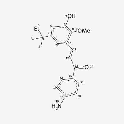 CCC(C)(C)c1cc(O)c(OC)c(C=CC(=O)c2ccc(N)cc2)c1